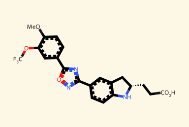 COc1ccc(-c2nc(-c3ccc4c(c3)C[C@H](CCC(=O)O)N4)no2)cc1OC(F)(F)F